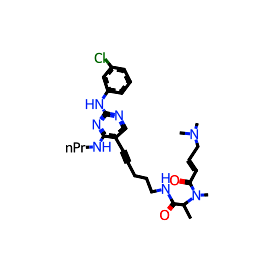 CCCNc1nc(Nc2cccc(Cl)c2)ncc1C#CCCCNC(=O)C(C)N(C)C(=O)C=CCN(C)C